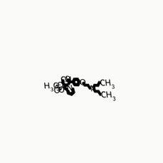 CCCCN(CCCC)CCCOc1ccc(C(=O)c2c(CC)c(OS(C)(=O)=O)c3ccccn23)cc1